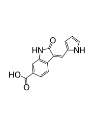 O=C1Nc2cc(C(=O)O)ccc2C1=Cc1ccc[nH]1